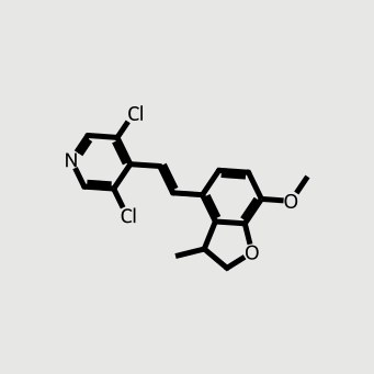 COc1ccc(C=Cc2c(Cl)cncc2Cl)c2c1OCC2C